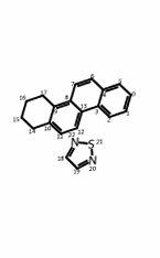 c1ccc2c(c1)ccc1c3c(ccc12)CCCC3.c1cnsn1